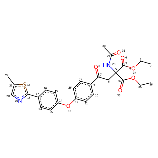 CCOC(=O)C(CC(=O)c1ccc(Oc2ccc(-c3ncc(C)s3)cc2)cc1)(NC(C)=O)C(=O)OCC